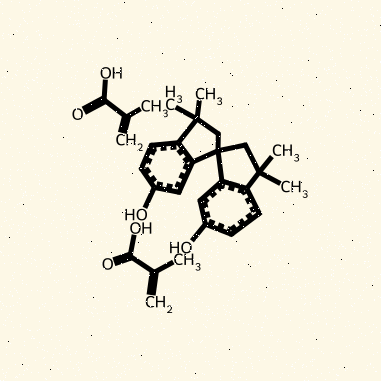 C=C(C)C(=O)O.C=C(C)C(=O)O.CC1(C)CC2(CC(C)(C)c3ccc(O)cc32)c2cc(O)ccc21